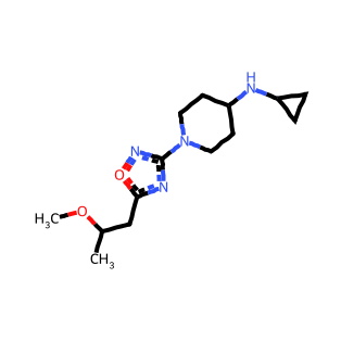 COC(C)Cc1nc(N2CCC(NC3CC3)CC2)no1